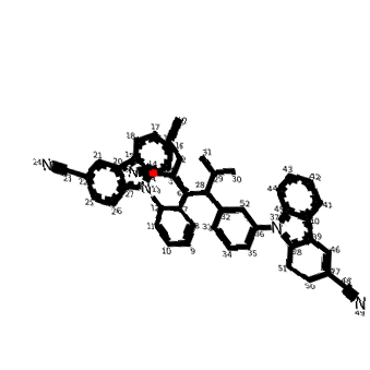 C=CC/C(C#N)=C(/C1C=CC=CC1n1c2ccccc2c2cc(C#N)ccc21)C(C(C)C)C1C=CC=C(n2c3c(c4ccccc42)C=C(C#N)CC3)C1